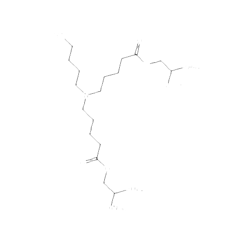 CCCCCCCCCC(CCCCCC)COC(=O)CCCCN(CCCCO)CCCCC(=O)OCC(CCCCCC)CCCCCCCC